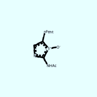 CCCCCc1cnc(NC(C)=O)[s+]1[O-]